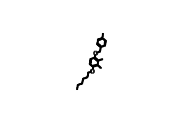 CCCCCCOc1ccc(OCc2ccc(C)cc2)c(C)c1C